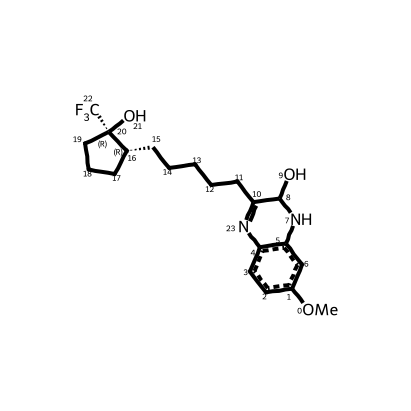 COc1ccc2c(c1)NC(O)C(CCCCC[C@@H]1CCC[C@]1(O)C(F)(F)F)=N2